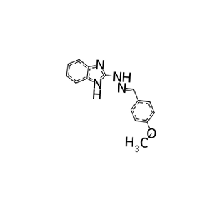 COc1ccc(/C=N/Nc2nc3ccccc3[nH]2)cc1